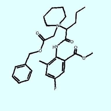 CCCC(C(=O)Nc1c(C)cc(F)cc1C(=O)OC)[N+]1(CC(=O)OCc2ccccc2)CCCCC1